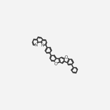 c1ccc(-c2ccc3oc4cc5c(cc4c3c2)oc2ccc(-c3ccc(-c4ccc6ccc7cccnc7c6n4)cc3)cc25)cc1